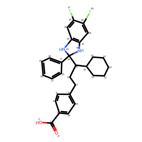 O=C(O)c1ccc(CCC(C2CCCCC2)C2(c3ccccc3)Nc3cc(F)c(F)cc3N2)cc1